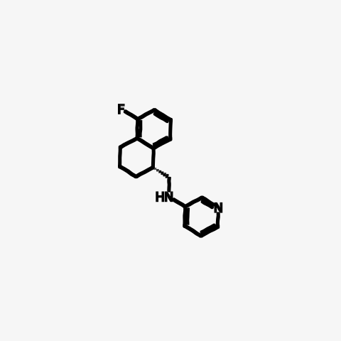 Fc1cccc2c1CCC[C@H]2CNc1cccnc1